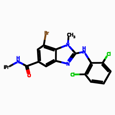 CC(C)NC(=O)c1cc(Br)c2c(c1)nc(Nc1c(Cl)cccc1Cl)n2C